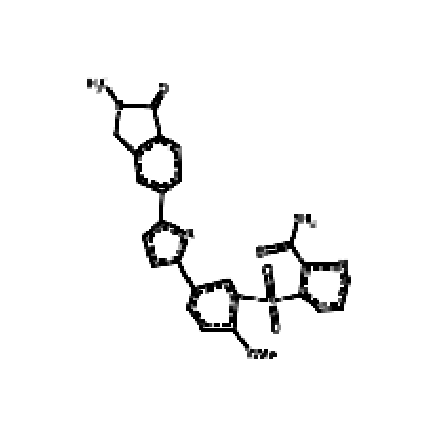 COc1ccc(-c2ccc(-c3ccc4c(c3)CN(C)C4=O)s2)cc1S(=O)(=O)c1cccnc1C(N)=O